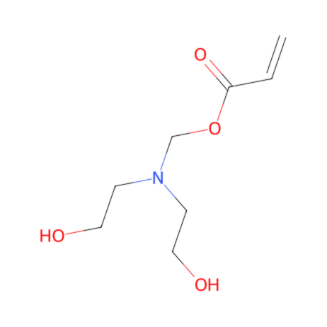 C=CC(=O)OCN(CCO)CCO